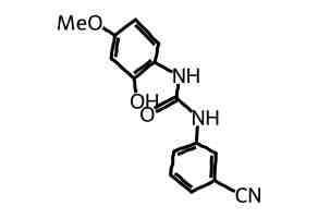 COc1ccc(NC(=O)Nc2cccc(C#N)c2)c(O)c1